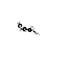 NCCOc1ccc(-c2ccc(C(=O)N3CCC(F)(F)CC3)cn2)cc1C(F)(F)F